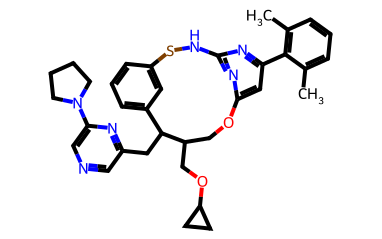 Cc1cccc(C)c1-c1cc2nc(n1)NSc1cccc(c1)C(Cc1cncc(N3CCCC3)n1)C(COC1CC1)CO2